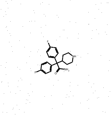 NC(=O)C(c1ccc(F)cc1)(c1ccc(F)cc1)C1CCNCC1